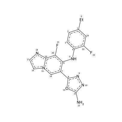 CCc1ccc(Nc2c(-c3nnc(N)o3)cn3ccnc3c2F)c(F)c1